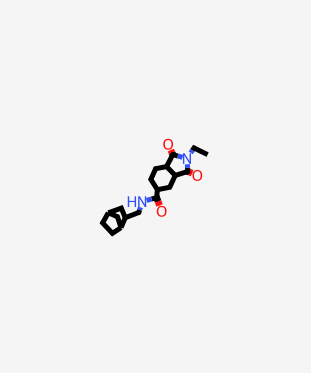 CCN1C(=O)C2CCC(C(=O)NCC3CC4CCC3C4)CC2C1=O